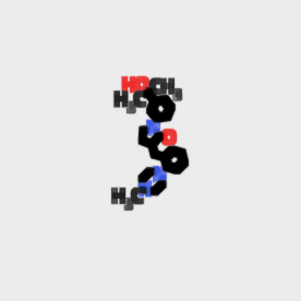 CN1CCN(c2ccccc2CC2CCN(c3cccc(C(C)(C)O)c3)C2=O)CC1